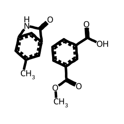 COC(=O)c1cccc(C(=O)O)c1.Cc1cc2cc(c1)C(=O)N2